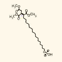 COC(=O)C/C(C(=O)OC)=C(/CCCCCCCCCCCCCCCCOS(=O)(=O)O)C(=O)OC